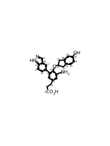 Nc1cc(CCC(=O)O)cc(-c2ccc3[nH]ncc3c2)c1OC1Cc2ccc(O)cc2C1